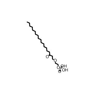 CCCCCCCCCCCCCCCCC(=O)CCOCCOP(=O)(O)O